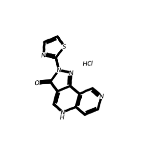 Cl.O=c1c2c[nH]c3ccncc3c-2nn1-c1nccs1